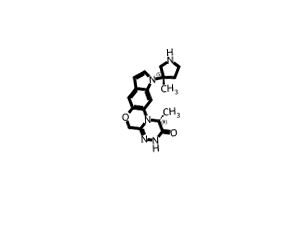 C[C@@H]1C(=O)NN=C2COc3cc4ccn([C@@]5(C)CCNC5)c4cc3N21